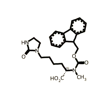 CN(C(=O)OCC1c2ccccc2-c2ccccc21)[C@@H](CCCCN1CCNC1=O)C(=O)O